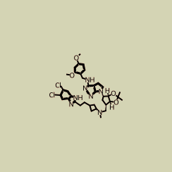 COc1ccc(CNc2ncnc3c2ccn3[C@@H]2C[C@H](CN(C)C3CC(CCc4nc5cc(Cl)c(Cl)cc5[nH]4)C3)[C@H]3OC(C)(C)O[C@H]32)c(OC)c1